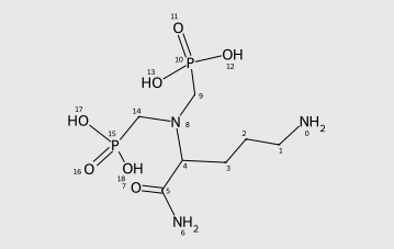 NCCCC(C(N)=O)N(CP(=O)(O)O)CP(=O)(O)O